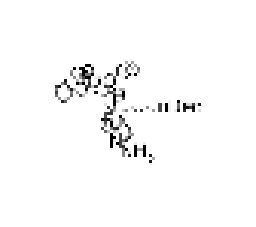 CCCCCCCCCCCCCCC(n1ccc(N)nc1=O)C(F)(F)CC(COP1(=O)OCc2ccccc2O1)C(=O)OC1CCOC1